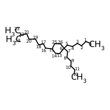 CCCCCCC1(CCCCCC)CCC(CCCCCCC(C)C)CC1